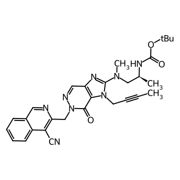 CC#CCn1c(N(C)C[C@H](C)NC(=O)OC(C)(C)C)nc2cnn(Cc3ncc4ccccc4c3C#N)c(=O)c21